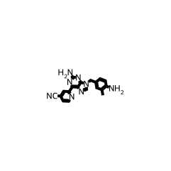 Cc1cc(Cn2cnc3c(-c4cc(C#N)ccn4)nc(N)nc32)ccc1N